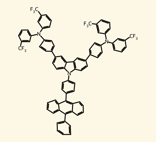 FC(F)(F)c1cccc(N(c2ccc(-c3ccc4c(c3)c3cc(-c5ccc(N(c6cccc(C(F)(F)F)c6)c6cccc(C(F)(F)F)c6)cc5)ccc3n4-c3ccc(-c4c5ccccc5c(-c5ccccc5)c5ccccc45)cc3)cc2)c2cccc(C(F)(F)F)c2)c1